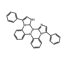 C1=C(c2ccccc2)N2c3ccccc3N3B(c4ncc(-c5ccccc5)n4-c4ccccc43)C2N1